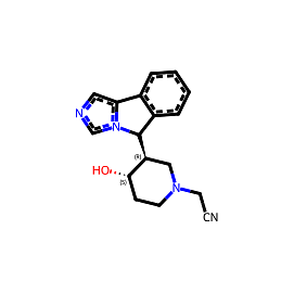 N#CCN1CC[C@H](O)[C@@H](C2c3ccccc3-c3cncn32)C1